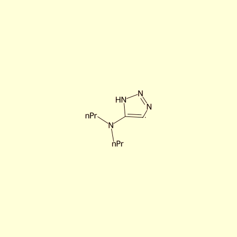 CCCN(CCC)c1[c]nn[nH]1